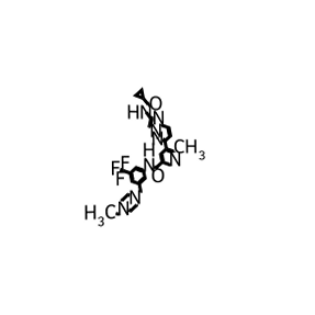 CCN1CCN(Cc2cc(NC(=O)c3cnc(C)c(-c4ccc5nc(NC(=O)C6CC6)cn5n4)c3)cc(C(F)(F)F)c2)CC1